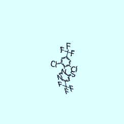 FC(F)(F)c1cc(Cl)c(-n2cnc(C(F)(F)F)cc2=S)c(Cl)c1